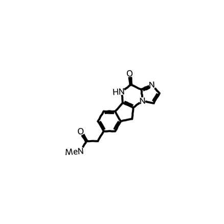 CNC(=O)Cc1ccc2c(c1)Cc1c-2[nH]c(=O)c2nccn12